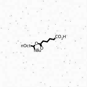 CCCCCCCCC(CCCC)OC(=O)CCCCC(=O)O